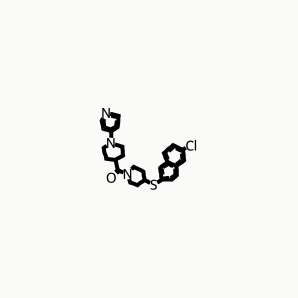 O=C(C1CCN(c2ccncc2)CC1)N1CCC(Sc2ccc3cc(Cl)ccc3c2)CC1